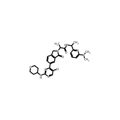 CC(NC(=O)C(C)N1Cc2ccc(-c3nc(NC4CCOCC4)ncc3Cl)cc2C1=O)c1cccc(N(C)C)n1